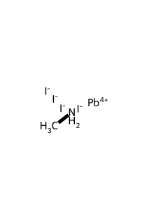 CN.[I-].[I-].[I-].[I-].[Pb+4]